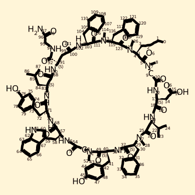 CCCC[C@H]1C(=O)N(C)CC(=O)N[C@@H](CC(=O)O)C(=O)N[C@@H](C(C)C)C(=O)N(C)[C@@H](Cc2ccccc2)C(=O)N[C@@H](Cc2ccc(O)cc2)C(=O)N(C)CC(=O)N[C@@H](Cc2c[nH]c3ccccc23)C(=O)N[C@@H](Cc2ccc(O)cc2)C(=O)N[C@@H](CC(C)C)C(=O)N[C@H](C(=O)NCC(N)=O)CC(=O)N[C@@H](Cc2ccccc2)C(=O)N(C)[C@@H](Cc2ccccc2)C(=O)N1C